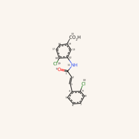 O=C(/C=C/c1ccccc1Cl)Nc1cc(C(=O)O)ccc1Cl